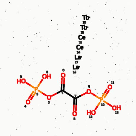 O=C(OP(=O)(O)O)C(=O)OP(=O)(O)O.[Ce].[Ce].[La].[La].[Tb].[Tb]